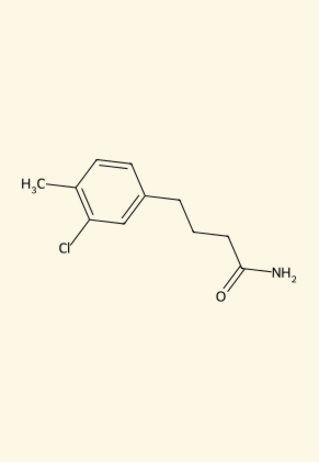 Cc1ccc(CCCC(N)=O)cc1Cl